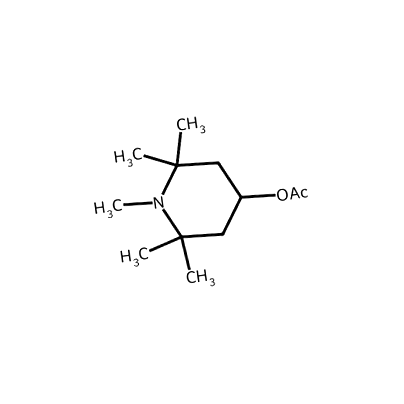 CC(=O)OC1CC(C)(C)N(C)C(C)(C)C1